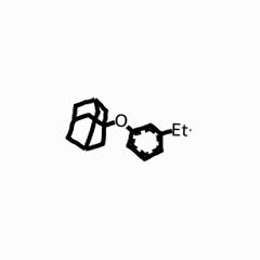 C[CH]c1cccc(OC23CC4CC(CC(C4)C2)C3)c1